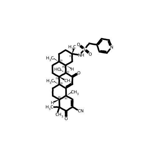 CC1(C)C(=O)C(C#N)=C[C@]2(C)C3=CC(=O)[C@]4(O)[C@@H]5C[C@@](C)(NS(=O)(=O)Cc6ccncc6)CC[C@]5(C)CC[C@@]4(C)[C@]3(C)CC[C@@H]12